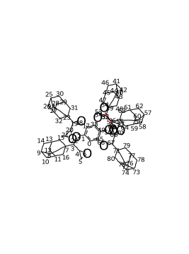 c1c(OC(C2CO2)C23CC4CC(CC(C4)C2)C3)c(OC(C2CO2)C23CC4CC(CC(C4)C2)C3)c(OC(C2CO2)C23CC4CC(CC(C4)C2)C3)c(OC(C2CO2)C23CC4CC(CC(C4)C2)C3)c1OC(C1CO1)C12CC3CC(CC(C3)C1)C2